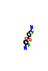 N#CC(F)=CC1CCC(C(=O)Oc2ccc(C#N)c(F)c2)CC1